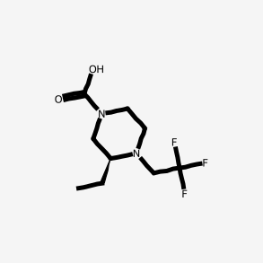 CC[C@H]1CN(C(=O)O)CCN1CC(F)(F)F